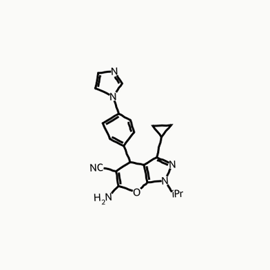 CC(C)n1nc(C2CC2)c2c1OC(N)=C(C#N)C2c1ccc(-n2ccnc2)cc1